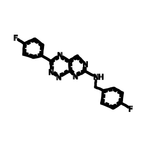 Fc1ccc(CNc2ncc3nc(-c4ccc(F)cc4)nnc3n2)cc1